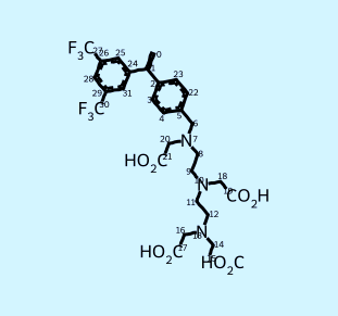 C=C(c1ccc(CN(CCN(CCN(CC(=O)O)CC(=O)O)CC(=O)O)CC(=O)O)cc1)c1cc(C(F)(F)F)cc(C(F)(F)F)c1